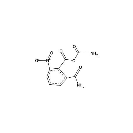 NC(=O)OC(=O)c1c(C(N)=O)cccc1[N+](=O)[O-]